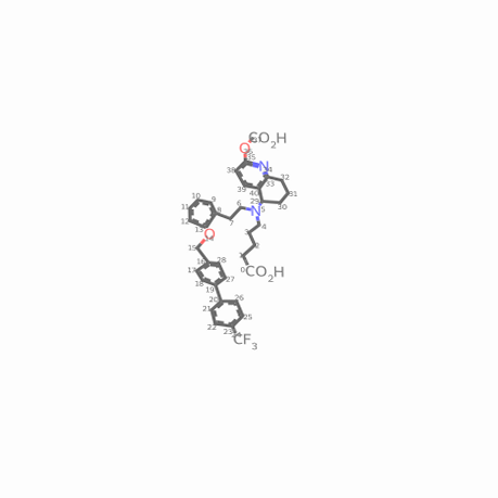 O=C(O)CCCCN(CCc1ccccc1OCc1ccc(-c2ccc(C(F)(F)F)cc2)cc1)C1CCCc2nc(OC(=O)O)ccc21